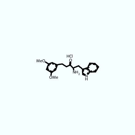 COc1cc(CCC(=O)C(N)Cc2c[nH]c3ccccc23)cc(OC)c1.Cl